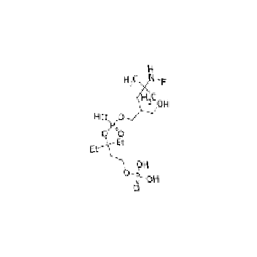 CCC(CC)(CCOP(=O)(O)O)OP(=O)(O)OCC(CO)CC(C)(C)NF